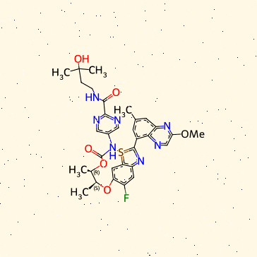 COc1cnc2c(-c3nc4cc(F)c(O[C@@H](C)[C@@H](C)OC(=O)Nc5cnc(C(=O)NCCC(C)(C)O)nc5)cc4s3)cc(C)cc2n1